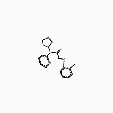 Cc1ccccc1OCC(=O)N(c1ccccn1)C1CCSC1